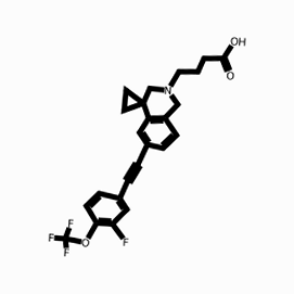 O=C(O)CCCN1Cc2ccc(C#Cc3ccc(OC(F)(F)F)c(F)c3)cc2C2(CC2)C1